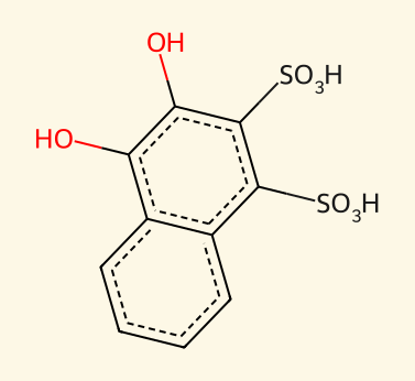 O=S(=O)(O)c1c(O)c(O)c2ccccc2c1S(=O)(=O)O